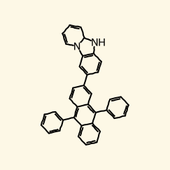 C1=CC2Nc3ccc(-c4ccc5c(-c6ccccc6)c6ccccc6c(-c6ccccc6)c5c4)cc3N2C=C1